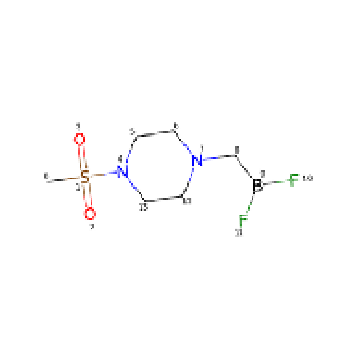 CS(=O)(=O)N1CCN(CB(F)F)CC1